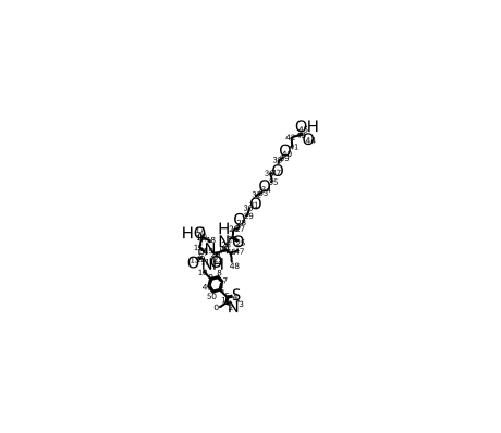 Cc1ncsc1-c1ccc(CNC(=O)[C@@H]2C[C@@H](O)CN2C(=O)[C@@H](NC(=O)CCOCCOCCOCCOCCOCCC(=O)O)C(C)C)cc1